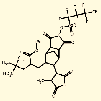 CC1C(=O)OC(=O)C1C1C(CC(CC(C)(C)C(=O)O)C(=O)OC(C)(C)C)C2CC1C1C(=O)N(OS(=O)(=O)C(F)(F)C(F)(F)C(F)(F)C(F)(F)F)C(=O)C21